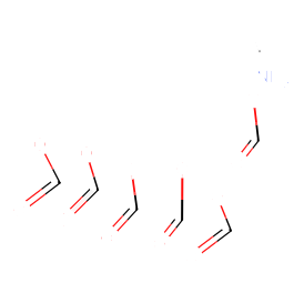 O=C[O-].O=C[O-].O=C[O-].O=C[O-].O=C[O-].O=C[O-].[NH4+].[V+5]